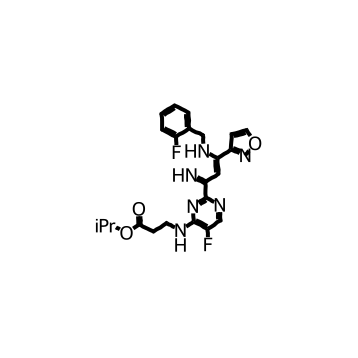 CC(C)OC(=O)CCNc1nc(C(=N)/C=C(\NCc2ccccc2F)c2ccon2)ncc1F